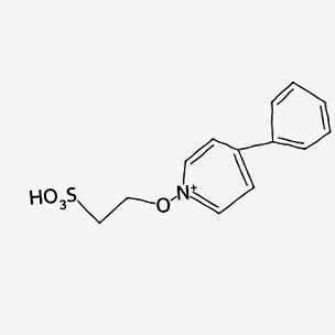 O=S(=O)(O)CCO[n+]1ccc(-c2ccccc2)cc1